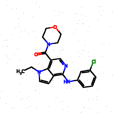 CCn1ccc2c(Nc3cccc(Cl)c3)ncc(C(=O)N3CCOCC3)c21